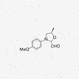 COc1ccc(N2C[C@@H](C)OC2C=O)cc1